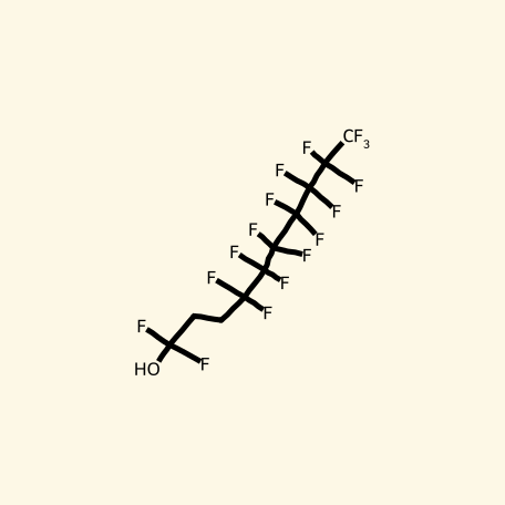 OC(F)(F)CCC(F)(F)C(F)(F)C(F)(F)C(F)(F)C(F)(F)C(F)(F)C(F)(F)F